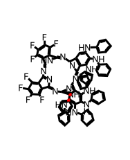 Fc1c(F)c(F)c2c(c1F)-c1nc-2nc2c3c(Nc4ccccc4)c(Nc4ccccc4)c(Nc4ccccc4)c(Nc4ccccc4)c3c(nc3nc(nc4[nH]c(n1)c1c(F)c(F)c(F)c(F)c41)-c1cc(Nc4ccccc4)c(Nc4ccccc4)c(Nc4ccccc4)c1-3)n2Nc1ccccc1